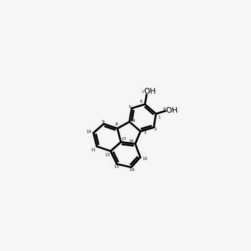 Oc1cc2c(cc1O)-c1cccc3cccc-2c13